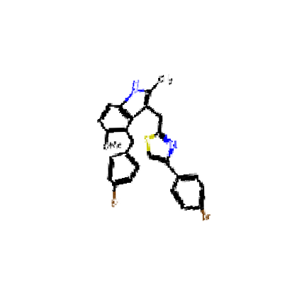 COc1ccc2[nH]c(C)c(Cc3nc(-c4ccc(Br)cc4)cs3)c2c1Cc1ccc(Br)cc1